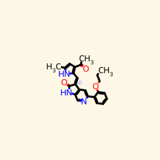 CCCOc1ccccc1-c1cc2c(cn1)NC(=O)/C2=C\c1[nH]c(C)cc1C(C)=O